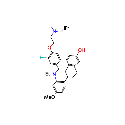 CCN(Cc1ccc(OCCN(C)CC(C)C)c(F)c1)c1cc(OC)ccc1C1CCc2cc(O)ccc2C1